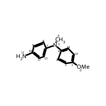 COc1ccc(N(C)c2ccc(N)cc2)cc1